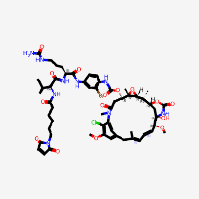 COc1cc2cc(c1Cl)N(C)C(=O)C[C@H](OC(=O)Nc1ccc(NC(=O)[C@H](CCCNC(N)=O)NC(=O)[C@@H](NC(=O)CCCCCN3C(=O)C=CC3=O)C(C)C)cc1Br)[C@]1(C)O[C@H]1[C@H](C)[C@@H]1C[C@@](O)(NC(=O)O1)[C@H](OC)/C=C/C=C(\C)C2